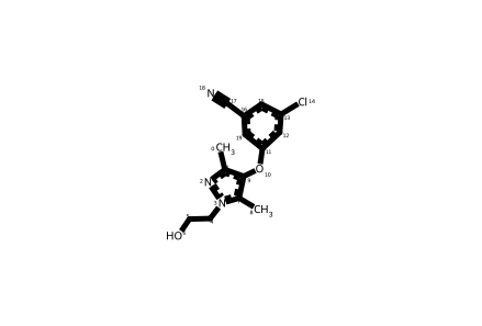 Cc1nn(CCO)c(C)c1Oc1cc(Cl)cc(C#N)c1